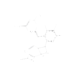 CC/C=C\C1C(c2cc(C)c(C)c(C)c2/C=C\OC(/C=C(\OC)C(C)(C)C)C(C)(C)C)N[C@@]1(C)C1=CC(C)N1